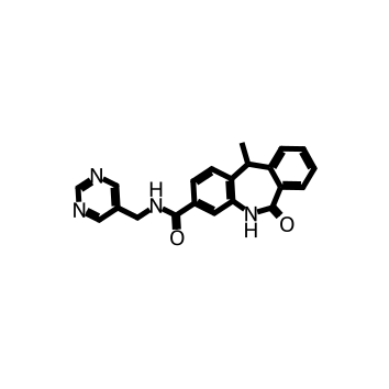 CC1c2ccc(C(=O)NCc3cncnc3)cc2NC(=O)c2ccccc21